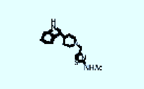 CC(=O)Nc1nc(CN2CCC(c3c[nH]c4ccccc34)CC2)cs1